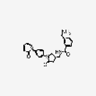 NCc1cccc(C(=O)NCC2CC(=O)N(c3ccc(-n4ccccc4=O)cc3)C2)c1